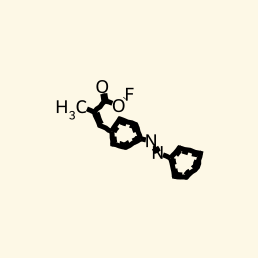 CC(=Cc1ccc(/N=N/c2ccccc2)cc1)C(=O)OF